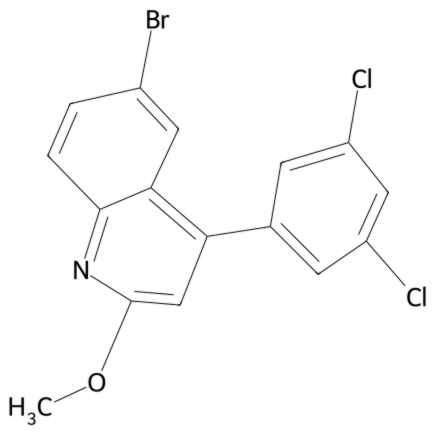 COc1cc(-c2cc(Cl)cc(Cl)c2)c2cc(Br)ccc2n1